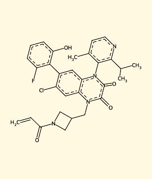 C=CC(=O)N1CC(Cn2c(=O)c(=O)n(-c3c(C)ccnc3C(C)C)c3cc(-c4c(O)cccc4F)c(Cl)cc32)C1